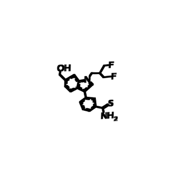 NC(=S)c1cccc(-c2cn(CC(CF)CF)c3cc(CO)ccc23)c1